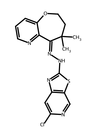 CC1(C)CCOc2cccnc2/C1=N/Nc1nc2cc(Cl)ncc2s1